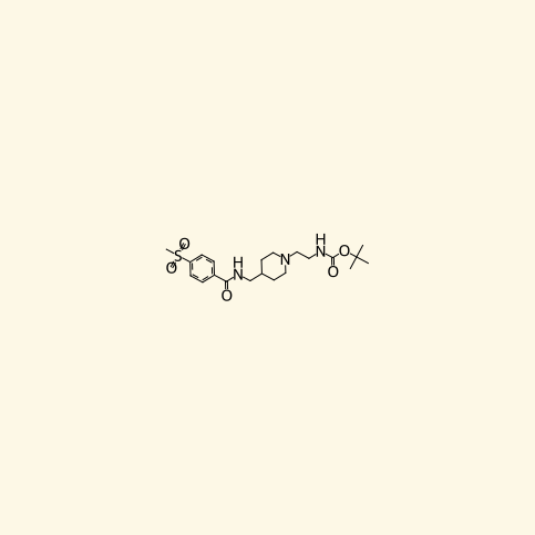 CC(C)(C)OC(=O)NCCN1CCC(CNC(=O)c2ccc(S(C)(=O)=O)cc2)CC1